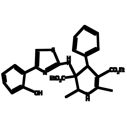 CCOC(=O)C1=C(C)NC(C)C(Nc2nc(-c3ccccc3O)cs2)(C(=O)OCC)C1c1ccccc1